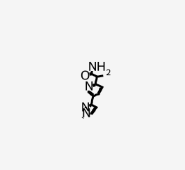 CC(C(N)=O)c1ccc(-c2ccn(C)n2)cn1